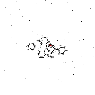 c1ccc(B2c3ccccc3C3(C4CCCNC24)C2CCNCC2N(c2ccccc2)C2CNCCC23)cc1